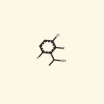 CC(O)c1c(F)ccc(Cl)c1F